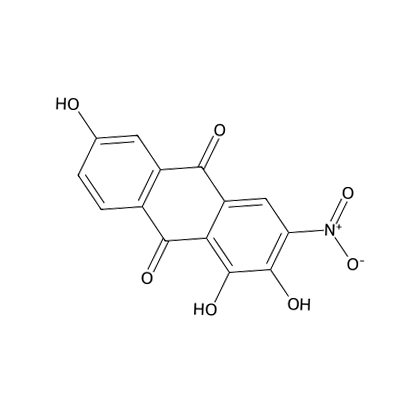 O=C1c2cc(O)ccc2C(=O)c2c1cc([N+](=O)[O-])c(O)c2O